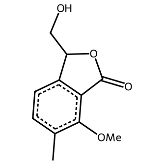 COc1c(C)ccc2c1C(=O)OC2CO